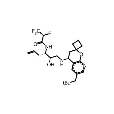 C=CC[C@H](NC(=O)[C@H](F)C(F)(F)F)[C@H](O)CN[C@H]1CC2(CCC2)Oc2ncc(CC(C)(C)C)cc21